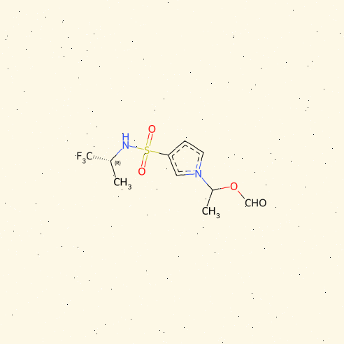 CC(OC=O)n1ccc(S(=O)(=O)N[C@H](C)C(F)(F)F)c1